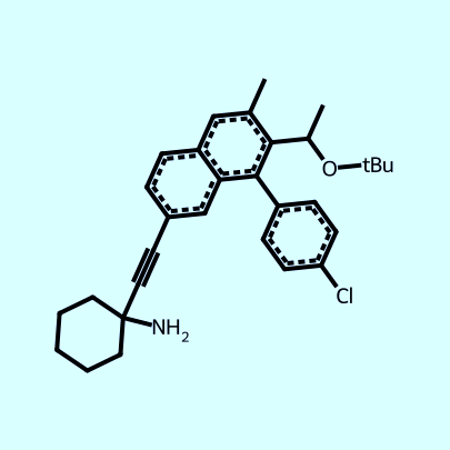 Cc1cc2ccc(C#CC3(N)CCCCC3)cc2c(-c2ccc(Cl)cc2)c1C(C)OC(C)(C)C